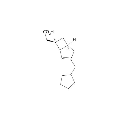 O=C(O)C[C@H]1C[C@H]2CC(CC3CCCC3)=CC21